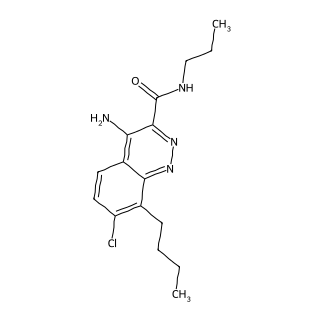 CCCCc1c(Cl)ccc2c(N)c(C(=O)NCCC)nnc12